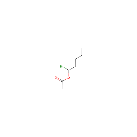 CCCCC(Br)OC(C)=O